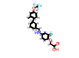 Cc1cc(OC(F)(F)F)ccc1-c1cccc(CNc2ccc(OCC(=O)O)c(F)c2)c1